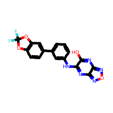 Oc1nc2nonc2nc1Nc1cccc(-c2ccc3c(c2)OC(F)(F)O3)c1